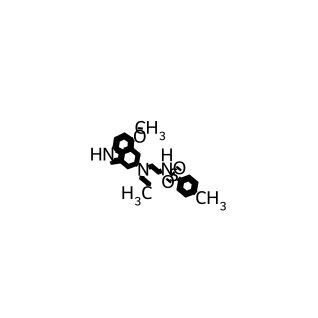 CCCN(CCNS(=O)(=O)c1ccc(C)cc1)C1Cc2c[nH]c3ccc(OC)c(c23)C1